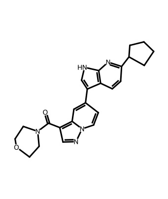 O=C(c1cnn2ccc(-c3c[nH]c4nc(C5CCCC5)ccc34)cc12)N1CCOCC1